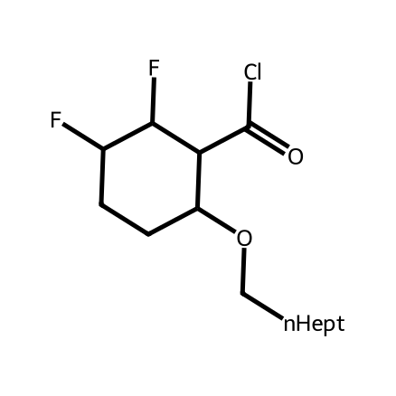 CCCCCCCCOC1CCC(F)C(F)C1C(=O)Cl